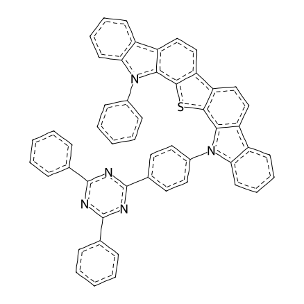 c1ccc(-c2nc(-c3ccccc3)nc(-c3ccc(-n4c5ccccc5c5ccc6c7ccc8c9ccccc9n(-c9ccccc9)c8c7sc6c54)cc3)n2)cc1